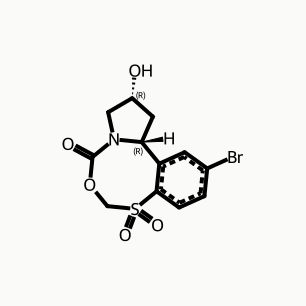 O=C1OCS(=O)(=O)c2ccc(Br)cc2[C@H]2C[C@@H](O)CN12